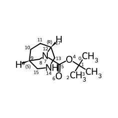 CC(C)(C)OC(=O)N1C[C@H]2CC[C@@H]1CNC2